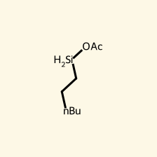 CCCCCC[SiH2]OC(C)=O